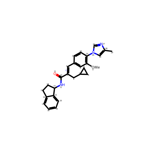 COc1cc(/C=C(\CC2CC2)C(=O)NC2CCc3ccccc32)ccc1-n1cnc(C)c1